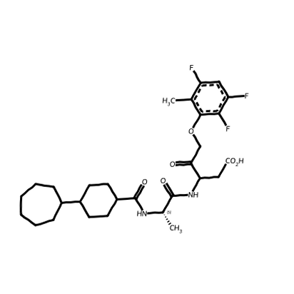 Cc1c(F)cc(F)c(F)c1OCC(=O)C(CC(=O)O)NC(=O)[C@H](C)NC(=O)C1CCC(C2CCCCCC2)CC1